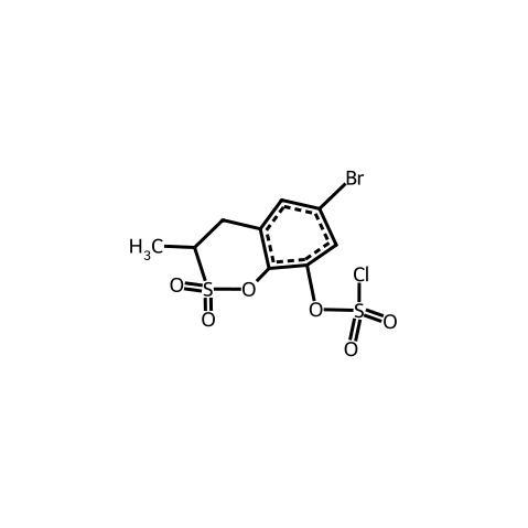 CC1Cc2cc(Br)cc(OS(=O)(=O)Cl)c2OS1(=O)=O